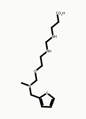 CN(COCCNCNCCC(=O)O)Cc1cccs1